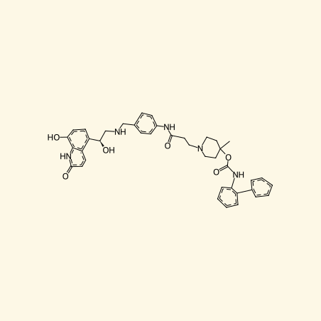 CC1(OC(=O)Nc2ccccc2-c2ccccc2)CCN(CCC(=O)Nc2ccc(CNC[C@@H](O)c3ccc(O)c4[nH]c(=O)ccc34)cc2)CC1